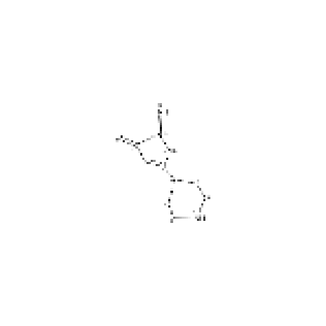 C=C1C=C(C2CCNCC2)NC1=N